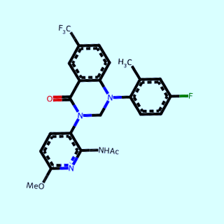 COc1ccc(N2CN(c3ccc(F)cc3C)c3ccc(C(F)(F)F)cc3C2=O)c(NC(C)=O)n1